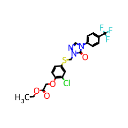 CCOC(=O)COc1ccc(SCn2ncn(-c3ccc(C(F)(F)F)cc3)c2=O)cc1Cl